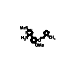 CNc1ncc(-c2ccc(OC)c(OCCC3CCCN3C)c2)c(N)n1